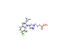 O=C(O)CCCn1cc(-n2c(C3CC3)cc3ccc(Cl)c(F)c32)cn1